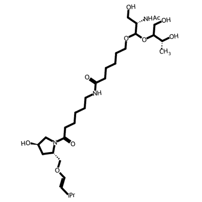 CC(=O)N[C@@H](CO)C(OCCCCCC(=O)NCCCCCC(=O)N1C[C@H](O)C[C@H]1CO/C=C/C(C)C)OC(CO)[C@@H](C)O